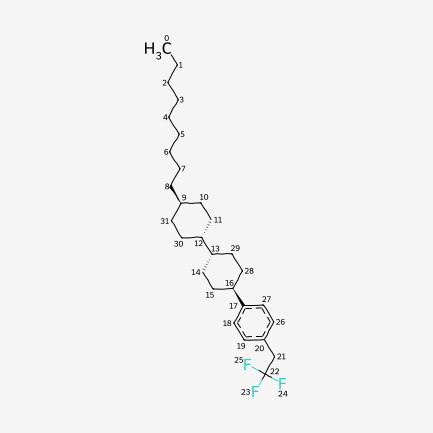 CCCCCCCCC[C@H]1CC[C@H]([C@H]2CC[C@H](c3ccc(CC(F)(F)F)cc3)CC2)CC1